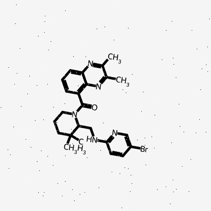 Cc1nc2cccc(C(=O)N3CCCC(C)(C)C3CNc3ccc(Br)cn3)c2nc1C